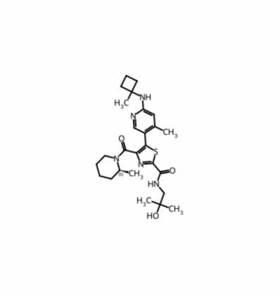 Cc1cc(NC2(C)CCC2)ncc1-c1sc(C(=O)NCC(C)(C)O)nc1C(=O)N1CCCC[C@@H]1C